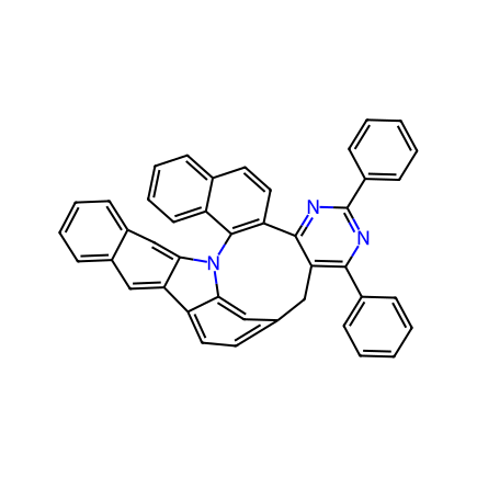 c1ccc(-c2nc(-c3ccccc3)c3c(n2)-c2ccc4ccccc4c2-n2c4cc(ccc4c4cc5ccccc5cc42)C3)cc1